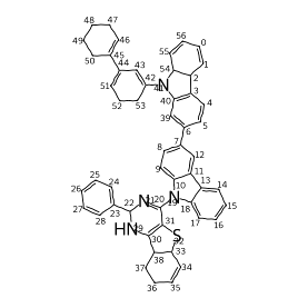 C1=CC2c3ccc(-c4ccc5c(c4)c4ccccc4n5C4=NC(c5ccccc5)NC5=C4SC4C=CCCC54)cc3N(C3=CC(C4=CCCCC4)=CCC3)C2C=C1